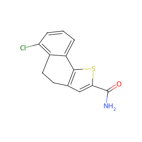 NC(=O)c1cc2c(s1)-c1cccc(Cl)c1CC2